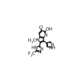 Cn1c(-c2nnc(C(F)(F)F)[nH]2)c(-c2cn[nH]c2)c2nc(O)c(Cl)cc21